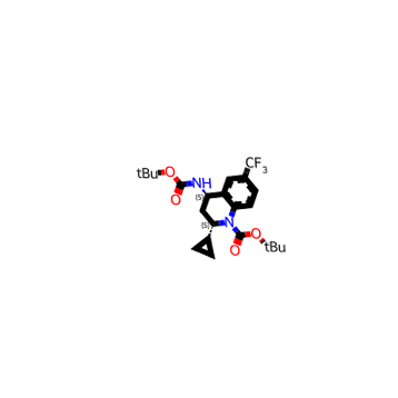 CC(C)(C)OC(=O)N[C@H]1C[C@@H](C2CC2)N(C(=O)OC(C)(C)C)c2ccc(C(F)(F)F)cc21